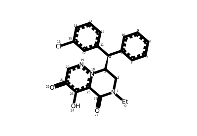 CCN1CC([C@H](c2ccccc2)c2cccc(Cl)c2)n2ncc(=O)c(O)c2C1=O